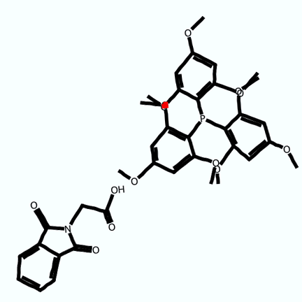 COc1cc(OC)c(P(c2c(OC)cc(OC)cc2OC)c2c(OC)cc(OC)cc2OC)c(OC)c1.O=C(O)CN1C(=O)c2ccccc2C1=O